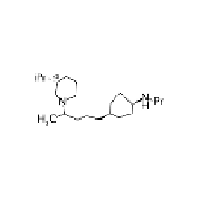 CC(C)N[C@H]1CC[C@@H](CCCC(C)N2CCC[C@@H](C(C)C)C2)CC1